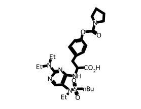 CCCCS(=O)(=O)N(CC)c1cnc(N(CC)CC)nc1NC(Cc1ccc(OC(=O)N2CCCC2)cc1)C(=O)O